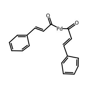 O=[C](C=Cc1ccccc1)[Pd][C](=O)C=Cc1ccccc1